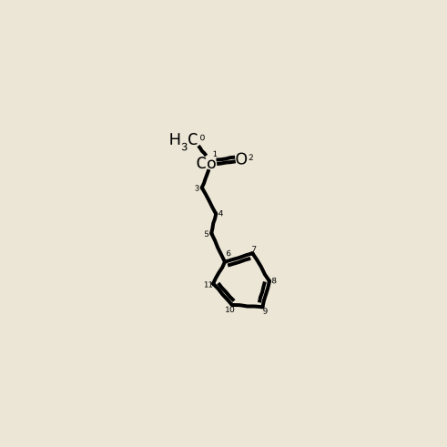 [CH3][Co](=[O])[CH2]CCc1ccccc1